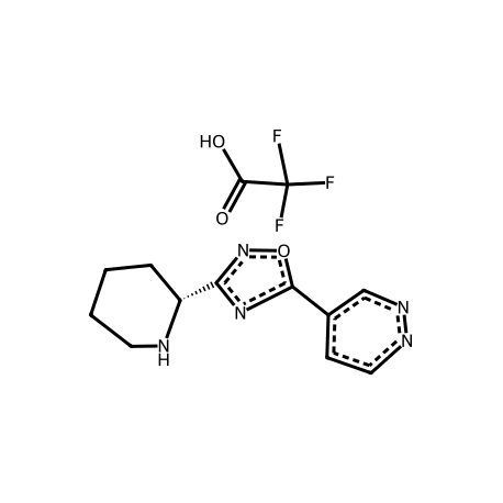 O=C(O)C(F)(F)F.c1cc(-c2nc([C@H]3CCCCN3)no2)cnn1